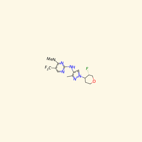 CNc1nc(Nc2cn(C3CCOC[C@H]3F)nc2C)ncc1C(F)(F)F